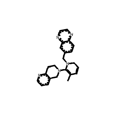 CC1=C(N2CCc3ncccc3C2)N(Cc2ccc3nccnc3c2)CC=C1